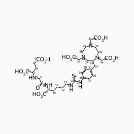 O=C(O)CCC(NCC(=O)NC(CCCCNC(=S)Nc1ccc(CC2CN(CC(=O)O)CCN(CC(=O)O)CCN2CC(=O)O)cc1)C(=O)O)C(=O)O